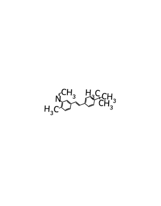 C/C=N\c1cc(/C=C/c2ccc(C(C)(C)C)cc2)ccc1C